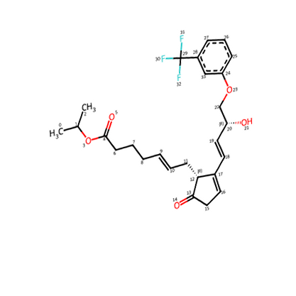 CC(C)OC(=O)CCCC=CC[C@H]1C(=O)CC=C1C=C[C@@H](O)COc1cccc(C(F)(F)F)c1